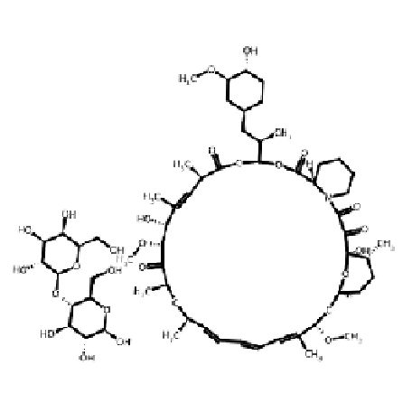 CO[C@H]1C[C@@H]2CC[C@@H](C)[C@@](O)(O2)C(=O)C(=O)N2CCCC[C@H]2C(=O)O[C@H]([C@H](C)C[C@@H]2CC[C@@H](O)[C@H](OC)C2)CC(=O)[C@H](C)/C=C(\C)[C@@H](O)[C@@H](OC)C(=O)[C@H](C)C[C@H](C)/C=C/C=C/C=C/1C.OC[C@H]1O[C@@H](O[C@H]2[C@H](O)[C@@H](O)[C@H](O)O[C@@H]2CO)[C@H](O)[C@@H](O)[C@H]1O